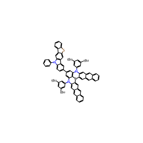 CC(C)(C)c1cc(N2c3cc4cc5ccccc5cc4cc3B3c4cc5cc6ccccc6cc5cc4N(c4cc(C(C)(C)C)cc(C(C)(C)C)c4)c4cc(-c5ccc6c(c5)c5cc7sc8ccccc8c7cc5n6-c5ccccc5)cc2c43)cc(C(C)(C)C)c1